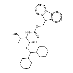 C=CC(C)C(NC(=O)OCC1c2ccccc2-c2ccccc21)C(=O)OC(C1CCCCC1)C1CCCCC1